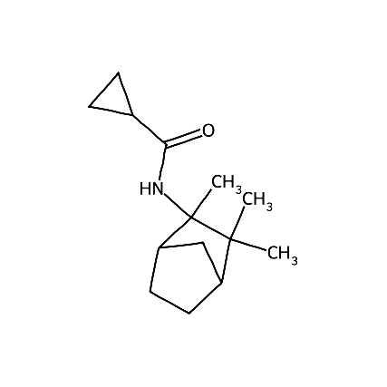 CC1(C)C2CCC(C2)C1(C)NC(=O)C1CC1